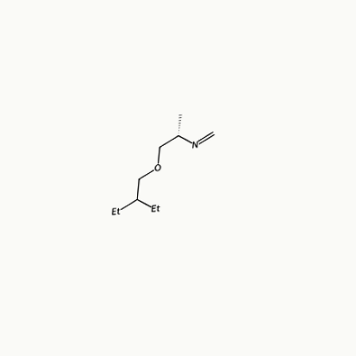 C=N[C@@H](C)COCC(CC)CC